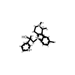 Cc1ccc2c(c1)c1c(n2CC(C)(O)c2cccnc2)CCN(C)C1C